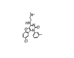 Cc1cccc(-n2c(=O)nc(NCCN(C)C)c3oc4ccc(Cl)cc4c32)c1